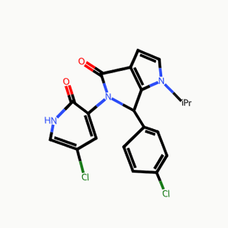 CC(C)n1ccc2c1C(c1ccc(Cl)cc1)N(c1cc(Cl)c[nH]c1=O)C2=O